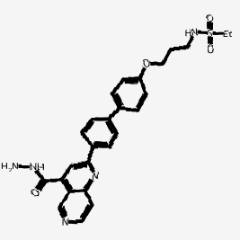 CCS(=O)(=O)NCCCOc1ccc(-c2ccc(-c3cc(C(=O)NN)c4cnccc4n3)cc2)cc1